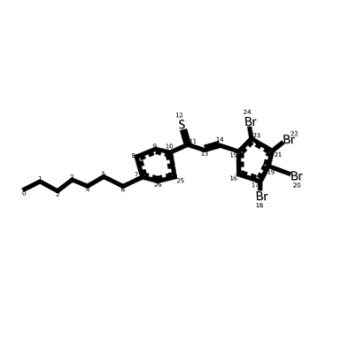 CCCCCCCc1ccc(C(=S)C=Cc2cc(Br)c(Br)c(Br)c2Br)cc1